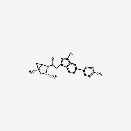 CC(=O)c1nn(CC(=O)N2C3C[C@]3(C)C[C@H]2C(=O)O)c2ccc(-c3cnc(C)nc3)cc12